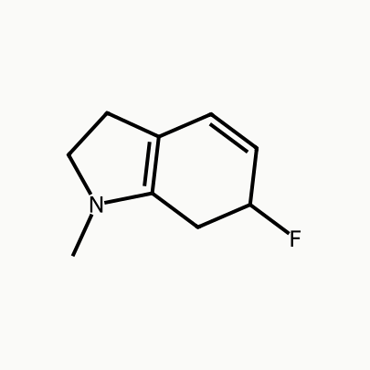 CN1CCC2=C1CC(F)C=C2